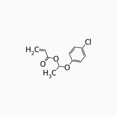 C=CC(=O)OC(C)Oc1ccc(Cl)cc1